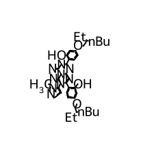 CCCCC(CC)COc1ccc(C2=NC3=NC=NC4N3C(=N2)N=C(c2ccc(OCC(CC)CCCC)cc2O)N4c2ccnn2C)c(O)c1